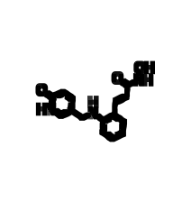 O=C(C=Cc1ccccc1NCc1ccc(=O)[nH]c1)NO